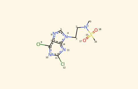 CN(CCn1cnc2c(Cl)nc(Cl)nc21)S(C)(=O)=O